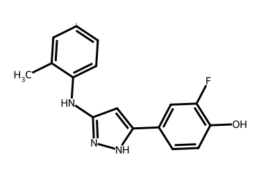 Cc1c[c]ccc1Nc1cc(-c2ccc(O)c(F)c2)[nH]n1